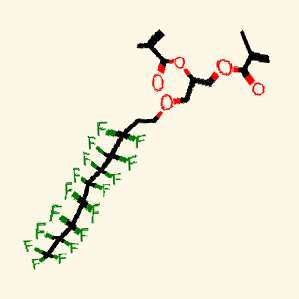 C=C(C)C(=O)OCC(COCCC(F)(F)C(F)(F)C(F)(F)C(F)(F)C(F)(F)C(F)(F)C(F)(F)C(F)(F)F)OC(=O)C(=C)C